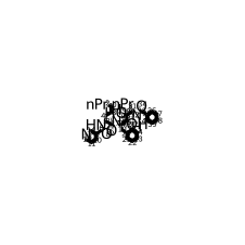 CCCC(CCC)CC[C@@H](NC(=O)c1cccnc1)C(=O)N[C@H](Cc1ccccc1)[C@@H](O)[C@H](O)[C@H](C)NC(=O)c1ccccc1